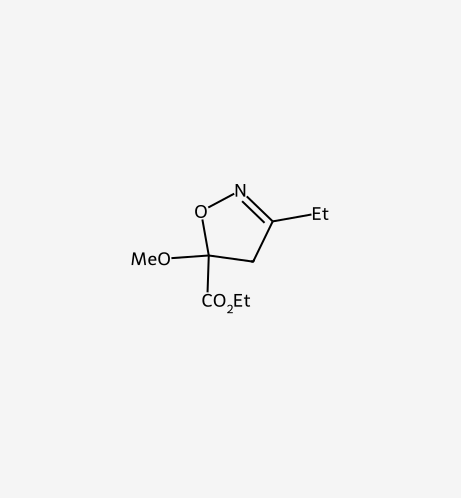 CCOC(=O)C1(OC)CC(CC)=NO1